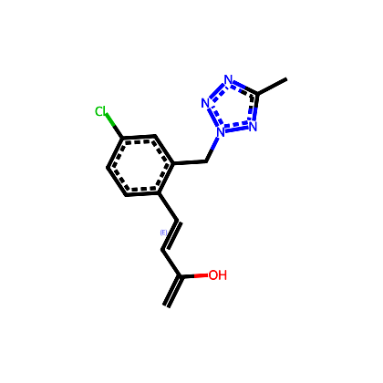 C=C(O)/C=C/c1ccc(Cl)cc1Cn1nnc(C)n1